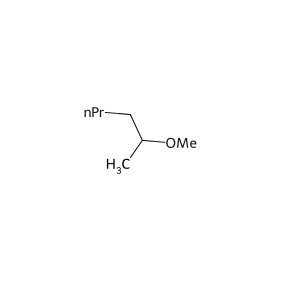 [CH2]CCCC(C)O[CH2]